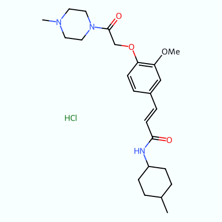 COc1cc(C=CC(=O)NC2CCC(C)CC2)ccc1OCC(=O)N1CCN(C)CC1.Cl